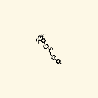 Cc1ccc(N2CCN(CCCC(=O)N3CCCN(c4ccc([N+](=O)[O-])c(C(F)(F)F)c4)CC3)CC2)cc1